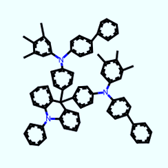 Cc1cc(N(c2ccc(-c3ccccc3)cc2)c2ccc(C3(c4ccc(N(c5ccc(-c6ccccc6)cc5)c5cc(C)c(C)c(C)c5)cc4)c4ccccc4N(c4ccccc4)c4ccccc43)cc2)cc(C)c1C